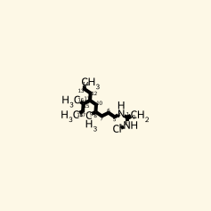 C=C(NCl)NCCCC(C)CC(CCC)C(C)CC